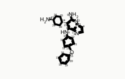 Nc1nn2ccnc2c(Nc2ccc(Oc3ccccc3)cc2)c1[C@H]1CC[C@H](N)CC1